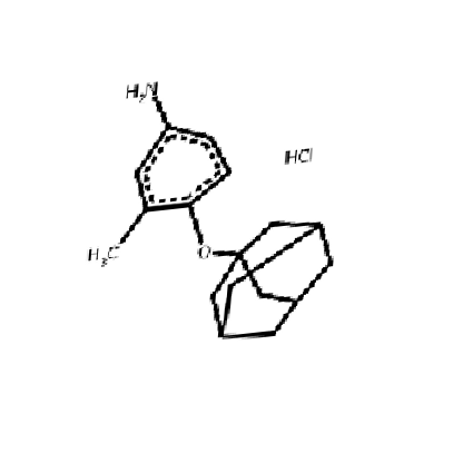 Cc1cc(N)ccc1OC12CC3CC(CC(C3)C1)C2.Cl